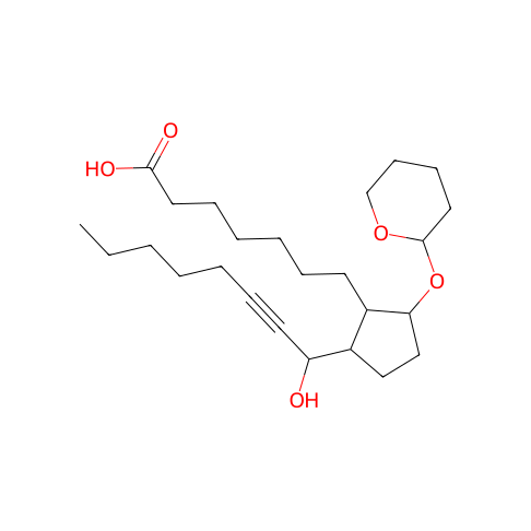 CCCCCC#CC(O)C1CCC(OC2CCCCO2)C1CCCCCCC(=O)O